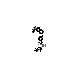 CN=S(C)(=O)c1ccc2nccc(Oc3ccc(CC(=O)Nc4cnn(C(C)(C)C)c4)cc3C)c2c1